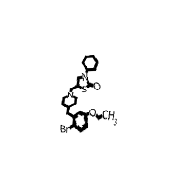 CCOc1ccc(Br)c(CC2CCN(CC3CN(C4CCCCC4)C(=O)S3)CC2)c1